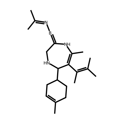 CC1=CCC(C2NC/C(=B/N=C(C)C)NC(C)=C2C(C)=C(C)C)CC1